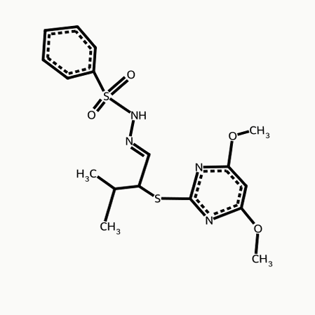 COc1cc(OC)nc(SC(C=NNS(=O)(=O)c2ccccc2)C(C)C)n1